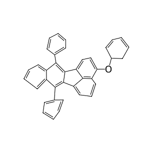 C1=CCC(Oc2ccc3c4c(cccc24)-c2c-3c(-c3ccccc3)c3ccccc3c2-c2ccccc2)C=C1